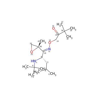 CC(C)C[C@H](NC(C)(C)C)/C(=N/OCC(=O)C(C)(C)C)[C@@]1(C)CO1